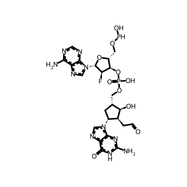 Nc1nc2c(ncn2[C@@H]2C[C@H](COP(=O)(O)O[C@H]3[C@@H](F)[C@H](n4cnc5c(N)ncnc54)O[C@@H]3COPO)[C@@H](O)[C@H]2CC=O)c(=O)[nH]1